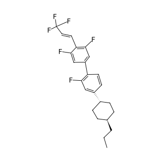 CCC[C@H]1CC[C@H](c2ccc(-c3cc(F)c(C=CC(F)(F)F)c(F)c3)c(F)c2)CC1